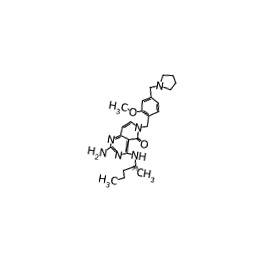 CCC[C@@H](C)Nc1nc(N)nc2ccn(Cc3ccc(CN4CCCC4)cc3OC)c(=O)c12